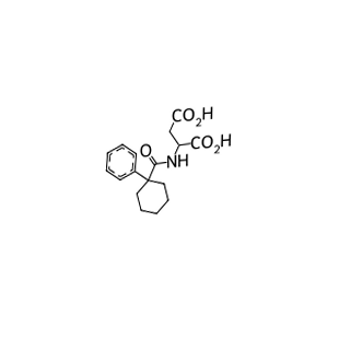 O=C(O)CC(NC(=O)C1(c2ccccc2)CCCCC1)C(=O)O